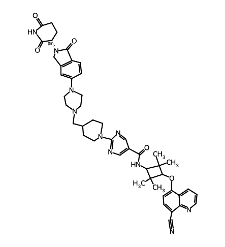 CC1(C)C(NC(=O)c2cnc(N3CCC(CN4CCN(c5ccc6c(c5)CN([C@H]5CCC(=O)NC5=O)C6=O)CC4)CC3)nc2)C(C)(C)C1Oc1ccc(C#N)c2ncccc12